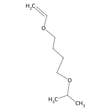 C=COCCCCOC(C)C